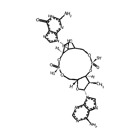 C[C@@H]1[C@@H]2O[P@](=O)(S)OCC3O[C@@H](n4cnc5c(=O)[nH]c(N)nc54)[C@H](O[P@](=O)(S)OC[C@H]2O[C@H]1n1cnc2c(N)ncnc21)[C@@H]3O